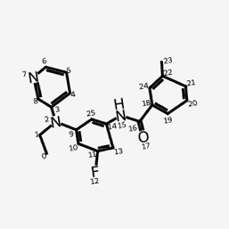 CCN(c1cccnc1)c1cc(F)cc(NC(=O)c2cccc(C)c2)c1